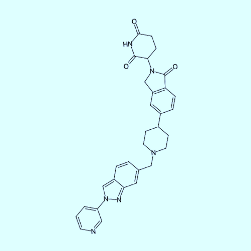 O=C1CCC(N2Cc3cc(C4CCN(Cc5ccc6cn(-c7cccnc7)nc6c5)CC4)ccc3C2=O)C(=O)N1